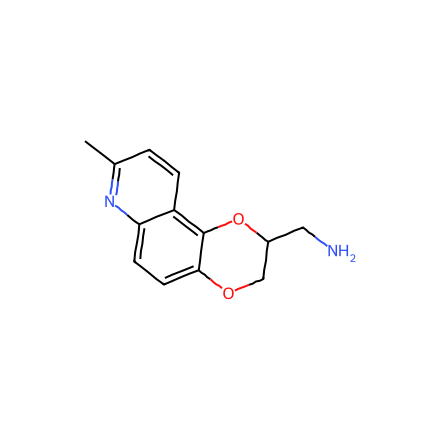 Cc1ccc2c3c(ccc2n1)OCC(CN)O3